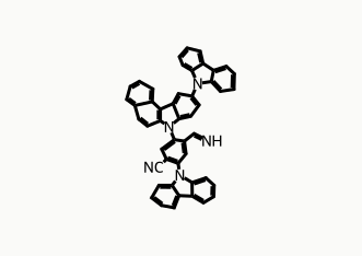 N#Cc1cc(-n2c3ccc(-n4c5ccccc5c5ccccc54)cc3c3c4ccccc4ccc32)c(C=N)cc1-n1c2ccccc2c2ccccc21